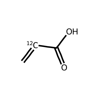 C=[12CH]C(=O)O